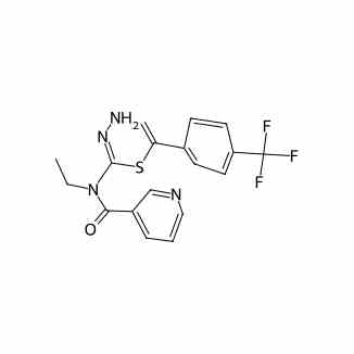 C=C(S/C(=N\N)N(CC)C(=O)c1cccnc1)c1ccc(C(F)(F)F)cc1